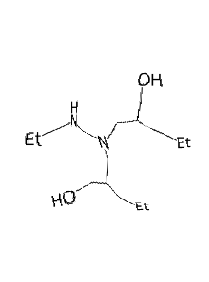 CCNN(C(O)CC)C(O)CC